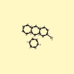 Brc1ccc2cc3ccccc3cc2c1.c1ccccc1